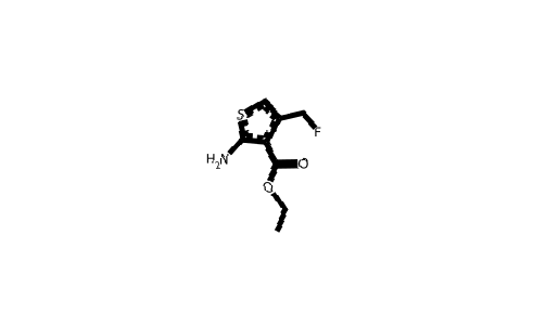 CCOC(=O)c1c(CF)csc1N